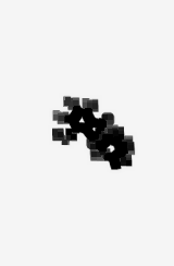 [2H]c1c([2H])c(N)c2c(c1[2H])C(=O)N([C@@]1([2H])C(=O)NC(=C)C([2H])([2H])C1([2H])[2H])C2